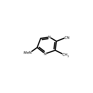 CNc1cnc(C#N)c(C)n1